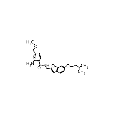 COCc1ccc(C(=O)NCc2cc3ccc(OCCC(C)C)cc3o2)c(N)n1